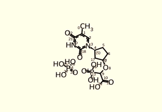 Cc1cn([C@H]2CC[C@@H](OC(C(=O)O)P(=O)(O)O)C2)c(=O)[nH]c1=O.O=P(O)(O)O